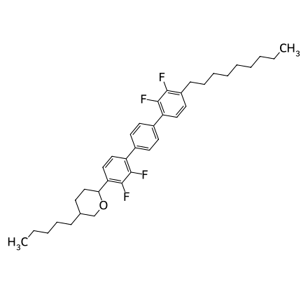 CCCCCCCCCc1ccc(-c2ccc(-c3ccc(C4CCC(CCCCC)CO4)c(F)c3F)cc2)c(F)c1F